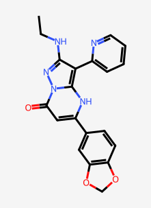 CCNc1nn2c(=O)cc(-c3ccc4c(c3)OCO4)[nH]c2c1-c1ccccn1